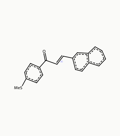 CSc1ccc(C(=O)/C=C/c2ccc3ccccc3c2)cc1